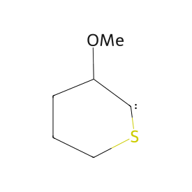 COC1[C]SCCC1